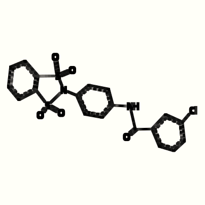 O=C(Nc1ccc(N2S(=O)(=O)c3ccccc3S2(=O)=O)cc1)c1cccc(Cl)c1